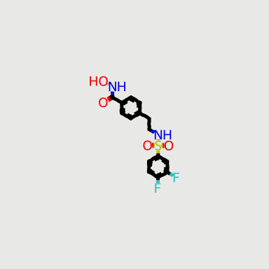 O=C(NO)c1ccc(CCNS(=O)(=O)c2ccc(F)c(F)c2)cc1